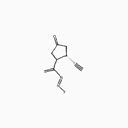 C#C[C@H]1CC(=O)CC1C(=C)N=NF